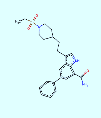 CCS(=O)(=O)N1CCC(CCc2c[nH]c3c(C(N)=O)cc(-c4ccccc4)cc23)CC1